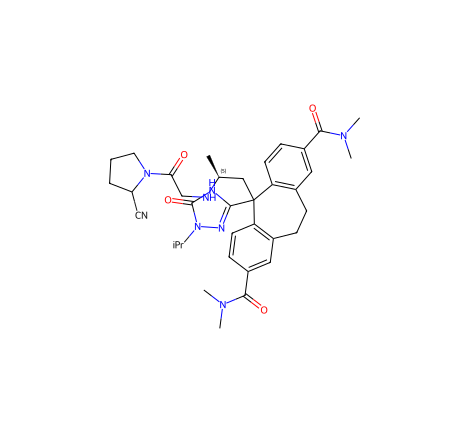 CC(C)n1nc(C2(C[C@H](C)NCC(=O)N3CCCC3C#N)c3ccc(C(=O)N(C)C)cc3CCc3cc(C(=O)N(C)C)ccc32)[nH]c1=O